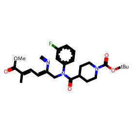 C=N/C(=C\C=C(/C)C(=O)OC)CN(C(=O)C1CCN(C(=O)OC(C)(C)C)CC1)c1cccc(F)c1